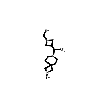 CC(C)CN1CC(C(N2CCC3(CC2)CN(C(C)C)C3)C(F)(F)F)C1